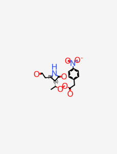 CC(OOC(=O)Cc1ccc([N+](=O)[O-])cc1)[C@H]1C(=O)N[C@@H]1CC=O